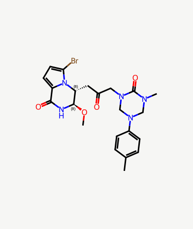 CO[C@H]1NC(=O)c2ccc(Br)n2[C@@H]1CC(=O)CN1CN(c2ccc(C)cc2)CN(C)C1=O